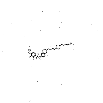 C/C=C/CCC1CCC(/C=C/CCC2CCc3cc(OC(F)(F)c4ccc(OCC)c(F)c4F)ccc3C2)CC1